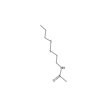 CCCSSCCNC(C)=O